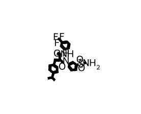 CC(C)c1ccc(C=C(C(=O)Nc2cccc(C(F)(F)F)c2)C(=O)Nc2cccc(S(N)(=O)=O)c2)cc1